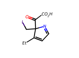 CCC1=CC=NC1(CI)C(=O)C(=O)O